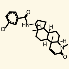 CN1C(=O)C=C[C@]2(C)[C@H]3CC[C@]4(C)[C@@H](NC(=O)c5cccc(Cl)c5)CC[C@H]4[C@@H]3CC[C@@H]12